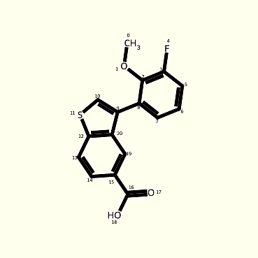 COc1c(F)cccc1-c1csc2ccc(C(=O)O)cc12